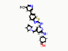 N#Cc1cncc(-c2ccc3nc(Nc4cc(CN5CCCC5)cc(N[C@H]5CC[C@H](O)CC5)n4)sc3c2)c1